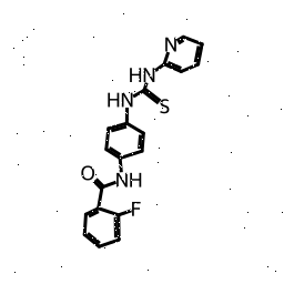 O=C(Nc1ccc(NC(=S)Nc2ccccn2)cc1)c1ccccc1F